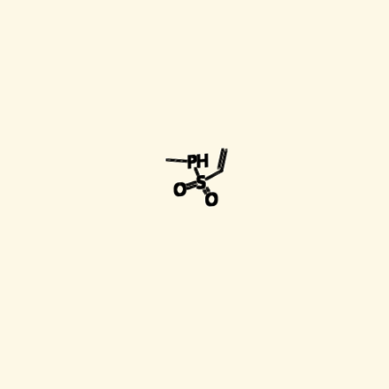 C=CS(=O)(=O)PC